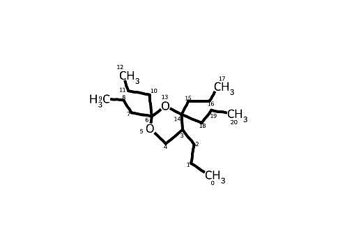 CCCC1COC(CCC)(CCC)OC1(CCC)CCC